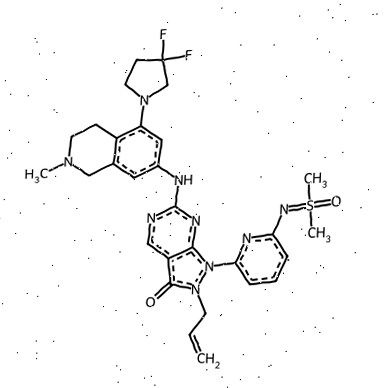 C=CCn1c(=O)c2cnc(Nc3cc4c(c(N5CCC(F)(F)C5)c3)CCN(C)C4)nc2n1-c1cccc(N=S(C)(C)=O)n1